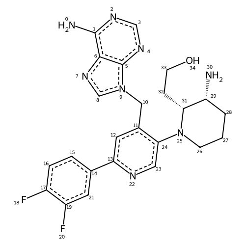 Nc1ncnc2c1ncn2Cc1cc(-c2ccc(F)c(F)c2)ncc1N1CCC[C@@H](N)[C@H]1CCO